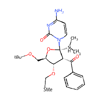 CSCO[C@H]1[C@@H](C(=O)c2ccccc2)[C@@](n2ccc(N)nc2=O)([SiH](C)C)O[C@@H]1COC(C)(C)C